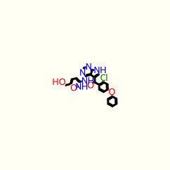 O=C(c1ccc(Oc2ccccc2)cc1Cl)c1c[nH]c2ncnc(NC3=CC=C(CO)ON3)c12